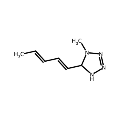 C/C=C/C=CC1NN=NN1C